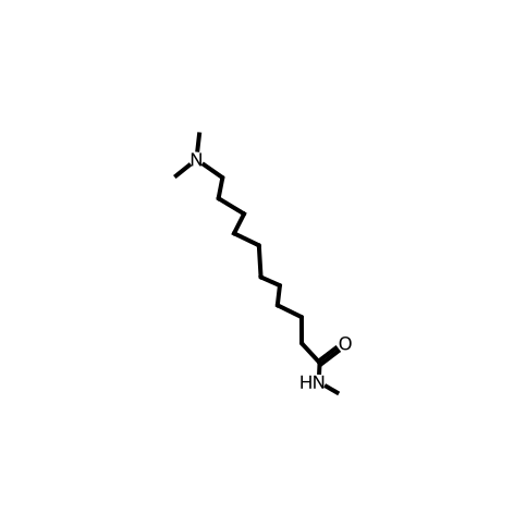 CNC(=O)CCCCCCCCCCN(C)C